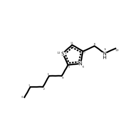 CCCCCc1nc(CNC)cs1